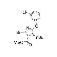 CCCCn1c(Oc2cccc(Cl)c2)nc(Br)c1C(=O)OC